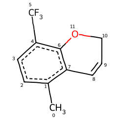 Cc1ccc(C(F)(F)F)c2c1C=CCO2